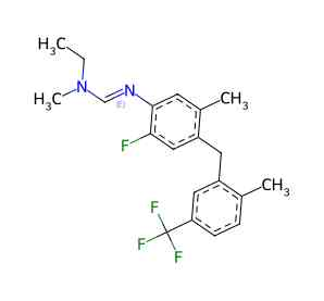 CCN(C)/C=N/c1cc(C)c(Cc2cc(C(F)(F)F)ccc2C)cc1F